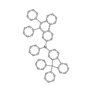 c1ccc(-c2c(-c3ccccc3)c3cc(N(c4ccccc4)c4ccc5c(c4)C(c4ccccc4)(c4ccccc4)c4ccccc4-5)ccc3c3ccccc23)cc1